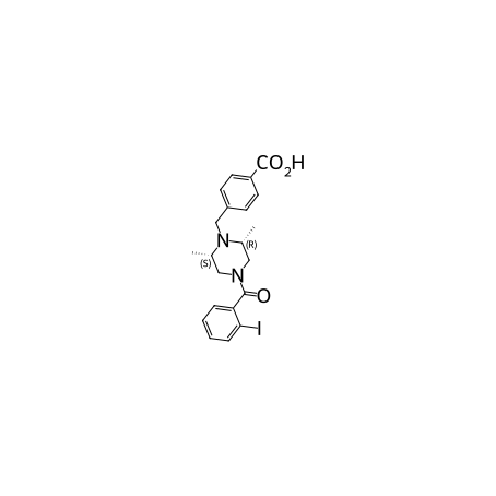 C[C@@H]1CN(C(=O)c2ccccc2I)C[C@H](C)N1Cc1ccc(C(=O)O)cc1